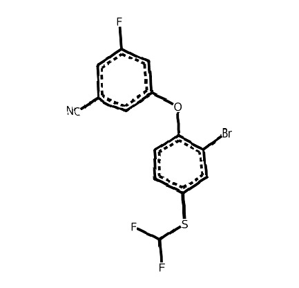 N#Cc1cc(F)cc(Oc2ccc(SC(F)F)cc2Br)c1